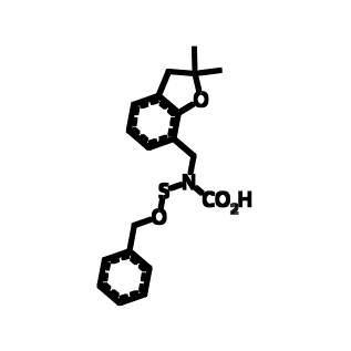 CC1(C)Cc2cccc(CN(SOCc3ccccc3)C(=O)O)c2O1